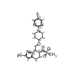 CC(C)c1cc2n(n1)C(COC1CCN(c3ncc(F)cn3)CC1)C(NS(C)(=O)=O)CC2